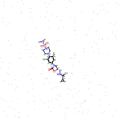 CN(C)S(=O)(=O)N1CCN(c2c(F)cc(N3C[C@H](CNC(=S)C4CC4)OC3=O)cc2F)CC1